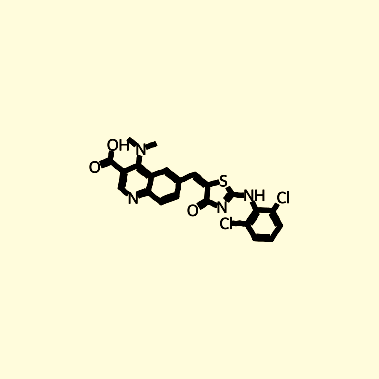 CN(C)c1c(C(=O)O)cnc2ccc(C=C3SC(Nc4c(Cl)cccc4Cl)=NC3=O)cc12